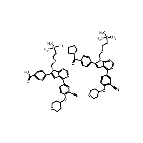 C[Si](C)(C)CCOCn1c(-c2ccc(C(=O)N3CCCC3)cc2)cc2c(-c3ccc(OC4CCOCC4)c(C#N)c3)ncnc21.C[Si](C)(C)CCOCn1c(-c2ccc(C(=O)O)cc2)cc2c(-c3ccc(OC4CCOCC4)c(C#N)c3)ncnc21